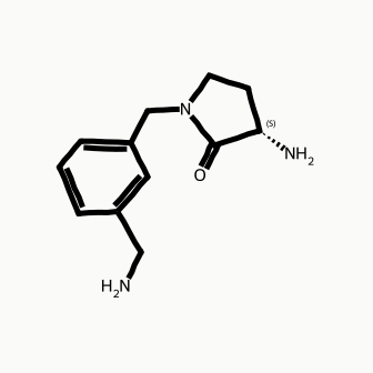 NCc1cccc(CN2CC[C@H](N)C2=O)c1